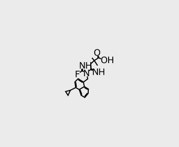 CC(C)(CC(=N)N(Cc1ccc(C2CC2)c2ccccc12)C(=N)F)C(=O)O